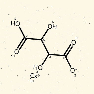 O=C([O-])C(O)C(O)C(=O)O.[Cs+]